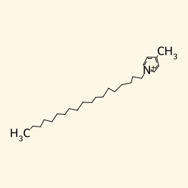 CCCCCCCCCCCCCCCCCCC[n+]1ccc(C)cc1